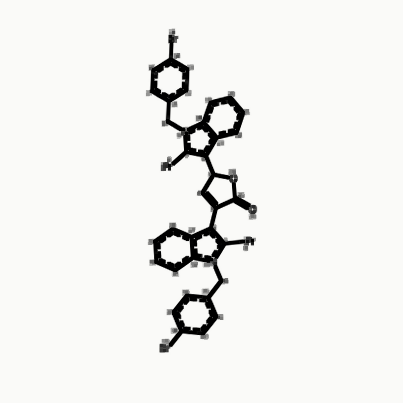 CC(C)c1c(C2=CC(c3c(C(C)C)n(Cc4ccc(Br)cc4)c4ccccc34)OC2=O)c2ccccc2n1Cc1ccc(Br)cc1